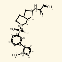 C=CC(=O)NC1CC2CCN(S(=O)(=O)c3cccc(-c4ccnn4C)c3)CC2O1